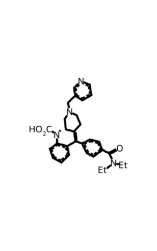 CCN(CC)C(=O)c1ccc(C(=C2CCN(Cc3cccnc3)CC2)c2ccccc2N(C)C(=O)O)cc1